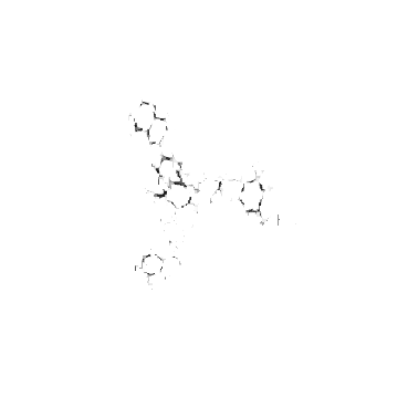 CCc1c(N2CCN(C(=O)c3ncnc(C)c3O)CC2)c(=O)n2nc(-c3ccc4ncncc4c3)nc2n1CC(=O)Nc1ccc(C(F)(F)F)cc1Cl